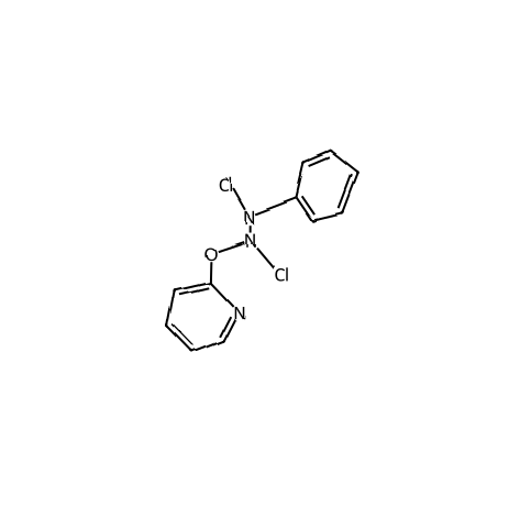 ClN(Oc1ccccn1)N(Cl)c1ccccc1